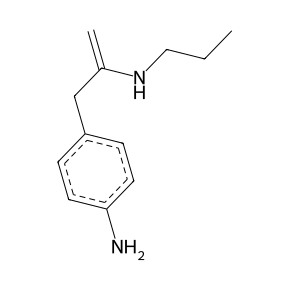 C=C(Cc1ccc(N)cc1)NCCC